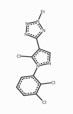 CCn1nnc(-c2cnn(-c3cccc(Cl)c3Cl)c2Cl)n1